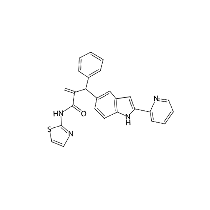 C=C(C(=O)Nc1nccs1)C(c1ccccc1)c1ccc2[nH]c(-c3ccccn3)cc2c1